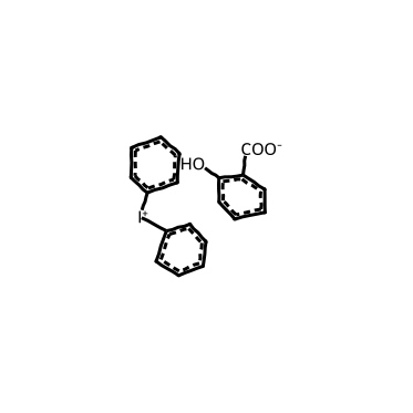 O=C([O-])c1ccccc1O.c1ccc([I+]c2ccccc2)cc1